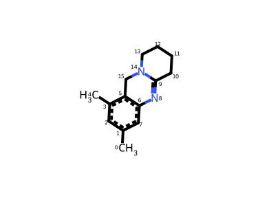 Cc1cc(C)c2c(c1)N=C1CCCCN1C2